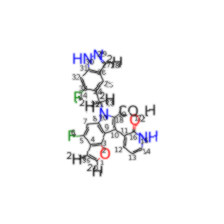 [2H]c1oc2c(c(F)cc3c2c(-c2ccc[nH]c2=O)c(C(=O)O)n3C([2H])([2H])c2cc3c([2H])n[nH]c3cc2F)c1[2H]